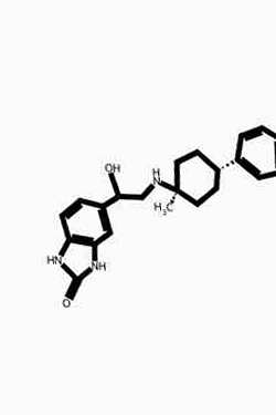 C[C@]1(NCC(O)c2ccc3[nH]c(=O)[nH]c3c2)CC[C@H](c2ccccc2)CC1